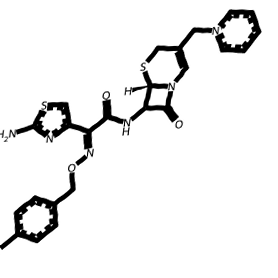 Nc1nc(C(=NOCc2ccc(Cl)cc2)C(=O)NC2C(=O)N3C=C(C[n+]4ccccc4)CS[C@@H]23)cs1